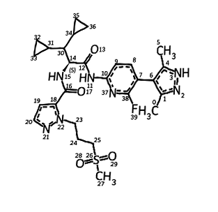 Cc1n[nH]c(C)c1-c1ccc(NC(=O)[C@@H](NC(=O)c2ccnn2CCCS(C)(=O)=O)C(C2CC2)C2CC2)nc1F